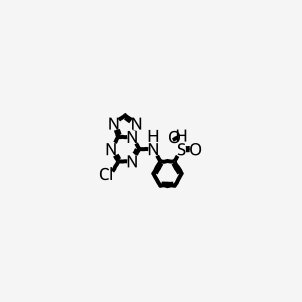 O=[SH](=O)c1ccccc1Nc1nc(Cl)nc2ncnn12